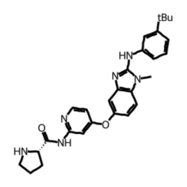 Cn1c(Nc2cccc(C(C)(C)C)c2)nc2cc(Oc3ccnc(NC(=O)[C@@H]4CCCN4)c3)ccc21